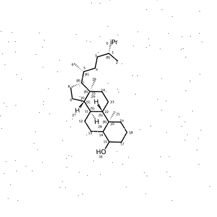 CC(C)[C@H](C)CC[C@@H](C)[C@H]1CC[C@H]2[C@@H]3CCC4C(O)CCC[C@]4(C)[C@H]3CC[C@]12C